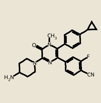 Cn1c(-c2ccc(C3CC3)cc2)c(-c2ccc(C#N)c(F)c2)nc(N2CCC(N)CC2)c1=O